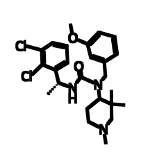 COc1cccc(CN(C(=O)N[C@H](C)c2cccc(Cl)c2Cl)C2CCN(C)CC2(C)C)c1